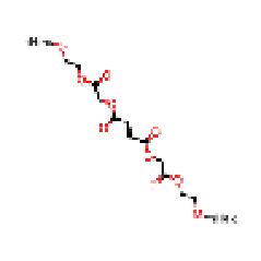 CCCCCCOCCOC(=O)COC(=O)/C=C/C(=O)OCC(=O)OCCOCCCCCC